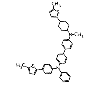 Cc1ccc(-c2ccc(N(c3ccccc3)c3ccc(-c4ccc(N(C)C5CCC(c6ccc(C)s6)CC5)cc4)cc3)cc2)s1